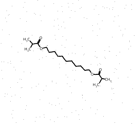 CC(C)C(=O)OCCCCCCCCCCCOC(=O)C(C)C